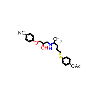 CC(=O)Oc1ccc(SCCCC(C)NCC(O)COc2ccc(C#N)cc2)cc1